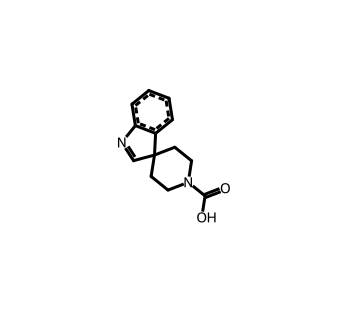 O=C(O)N1CCC2(C=Nc3ccccc32)CC1